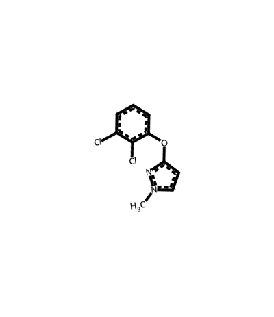 Cn1[c]cc(Oc2cccc(Cl)c2Cl)n1